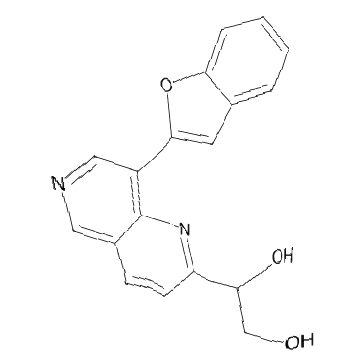 OCC(O)c1ccc2cncc(-c3cc4ccccc4o3)c2n1